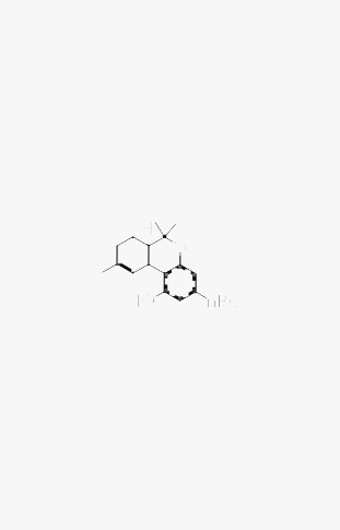 CCCCc1cc(O)c2c(c1)OC(C)(C)[C@@H]1CCC(C)=CC21